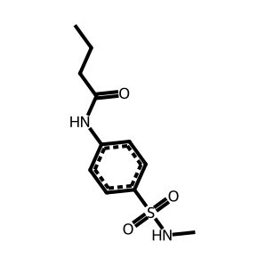 CCCC(=O)Nc1ccc(S(=O)(=O)NC)cc1